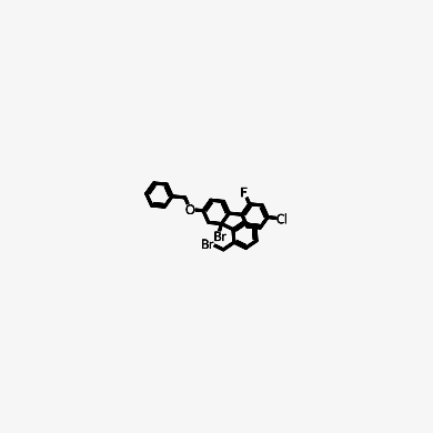 Fc1cc(Cl)ccc1C1=CC=C(OCc2ccccc2)CC1(Br)c1ccccc1CBr